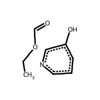 CCOC=O.Oc1cccnc1